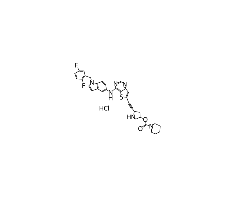 Cl.O=C(OC1CNC(C#Cc2cc3ncnc(Nc4ccc5c(ccn5Cc5cc(F)ccc5F)c4)c3s2)C1)N1CCCCC1